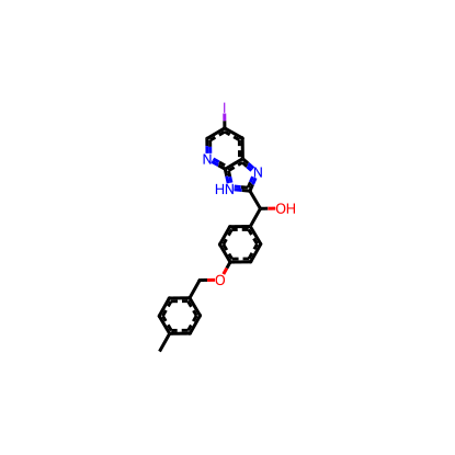 Cc1ccc(COc2ccc(C(O)c3nc4cc(I)cnc4[nH]3)cc2)cc1